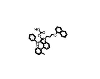 Cc1ccccc1-c1cccc2c1c(Nc1ccccc1)c(OC(=O)O)n2CCCOc1cccc2ccccc12